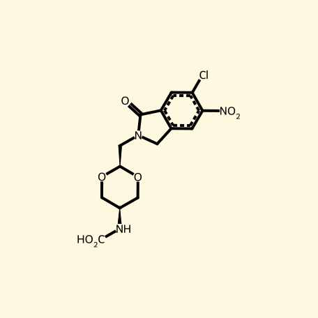 O=C(O)N[C@H]1CO[C@@H](CN2Cc3cc([N+](=O)[O-])c(Cl)cc3C2=O)OC1